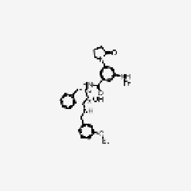 CCNc1cc(C(=O)N[C@@H](Cc2ccccc2)[C@H](O)CNCc2cccc(OCC)c2)cc(N2CCCC2=O)c1